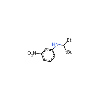 CCC(Nc1cccc([N+](=O)[O-])c1)C(C)(C)C